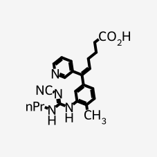 CCCNC(=NC#N)Nc1cc(C(=CCCCC(=O)O)c2cccnc2)ccc1C